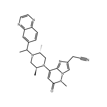 CC(c1ccc2nccnc2c1)N1C[C@H](C)N(c2cc(=O)n(C)n3cc(CC#N)nc23)C[C@H]1C